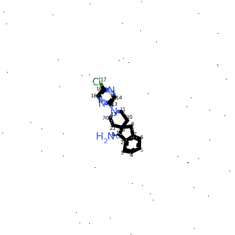 N[C@@H]1c2ccccc2CC12CCN(c1cnc(Cl)cn1)CC2